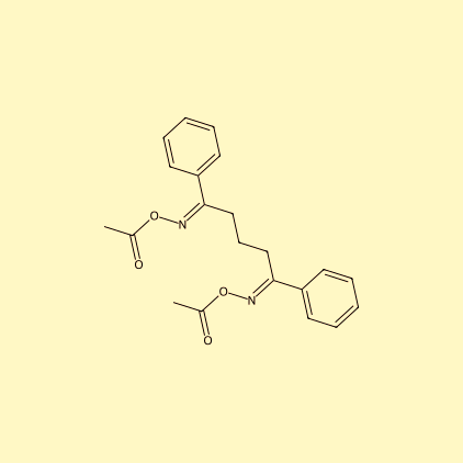 CC(=O)ON=C(CCCC(=NOC(C)=O)c1ccccc1)c1ccccc1